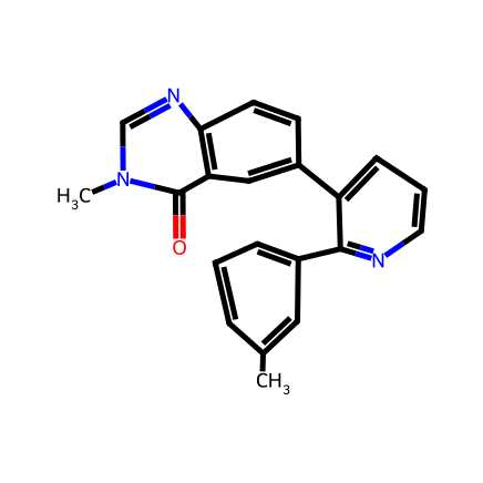 Cc1cccc(-c2ncccc2-c2ccc3ncn(C)c(=O)c3c2)c1